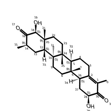 CC1=C2CC[C@H]3[C@@](C)(CC[C@@]4(C)[C@@H]5C[C@@H](C)C(=O)[C@@H](O)[C@]5(C)CC[C@]34C)[C@@H]2C[C@H](O)C1=O